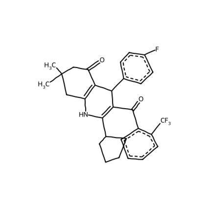 CC1(C)CC(=O)C2=C(C1)NC(C1CCCC1)=C(C(=O)c1ccccc1C(F)(F)F)C2c1ccc(F)cc1